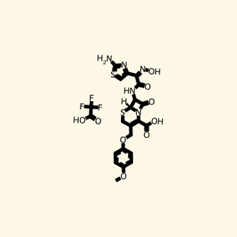 COc1ccc(OCC2=C(C(=O)O)N3C(=O)C(NC(=O)/C(=N\O)c4csc(N)n4)[C@H]3SC2)cc1.O=C(O)C(F)(F)F